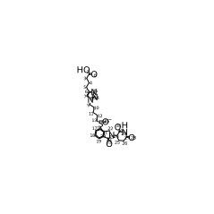 O=C(O)CCCc1cn(CCCCC[S+]([O-])c2cccc3c2CN(C2CCC(=O)NC2=O)C3=O)nn1